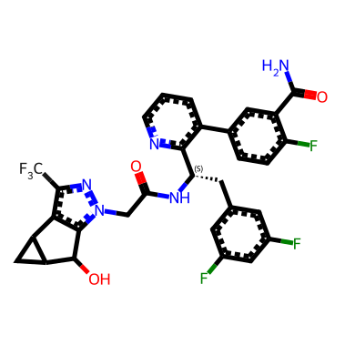 NC(=O)c1cc(-c2cccnc2[C@H](Cc2cc(F)cc(F)c2)NC(=O)Cn2nc(C(F)(F)F)c3c2C(O)C2CC32)ccc1F